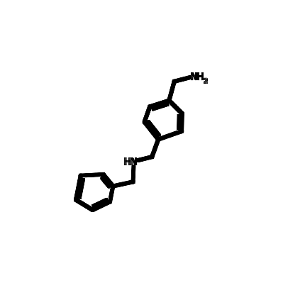 NCc1ccc(CNCc2ccccc2)cc1